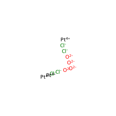 [Cl-].[Cl-].[Cl-].[Cl-].[O-2].[O-2].[O-2].[O-2].[Pt+4].[Pt+4].[Pt+4]